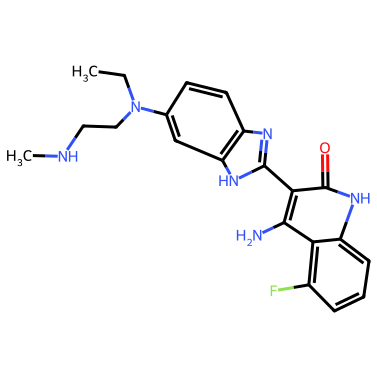 CCN(CCNC)c1ccc2nc(-c3c(N)c4c(F)cccc4[nH]c3=O)[nH]c2c1